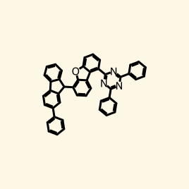 c1ccc(-c2ccc3c(c2)C(c2cccc4c2oc2cccc(-c5nc(-c6ccccc6)nc(-c6ccccc6)n5)c24)c2ccccc2-3)cc1